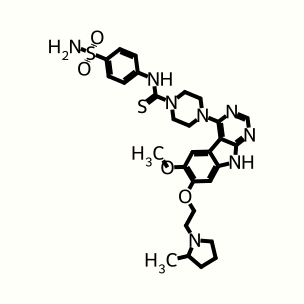 COc1cc2c(cc1OCCN1CCCC1C)[nH]c1ncnc(N3CCN(C(=S)Nc4ccc(S(N)(=O)=O)cc4)CC3)c12